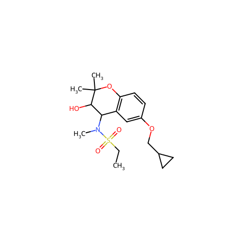 CCS(=O)(=O)N(C)C1c2cc(OCC3CC3)ccc2OC(C)(C)C1O